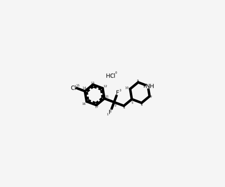 Cl.FC(F)(CC1CCNCC1)c1ccc(Cl)cc1